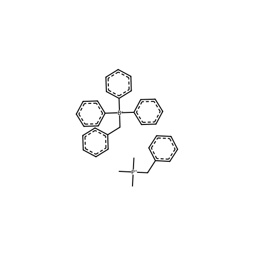 C[P+](C)(C)Cc1ccccc1.c1ccc(C[B-](c2ccccc2)(c2ccccc2)c2ccccc2)cc1